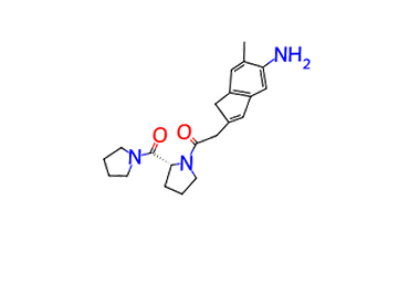 Cc1cc2c(cc1N)C=C(CC(=O)N1CCC[C@@H]1C(=O)N1CCCC1)C2